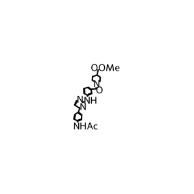 COC(=O)C1CCN(C(=O)c2cccc(Nc3nccc(-c4ccc(NC(C)=O)cc4)n3)c2)CC1